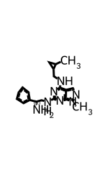 CC1CC1CNc1nc(NC[C@H](N)c2ccccc2)nc2c1cnn2C